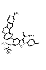 CNC(=O)c1c(-c2ccc(F)cc2)oc2cc(N(C)S(C)(=O)=O)c(-c3ccc4c(n3)-c3cc5cc(N)ccc5n3CO4)cc12